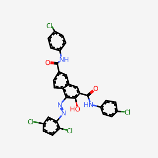 O=C(Nc1ccc(Cl)cc1)c1ccc2c(/N=N/c3cc(Cl)ccc3Cl)c(O)c(C(=O)Nc3ccc(Cl)cc3)cc2c1